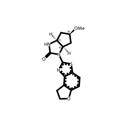 CO[C@@H]1C[C@@H]2NC(=O)N(c3nc4c5c(ccc4s3)OCC5)[C@@H]2C1